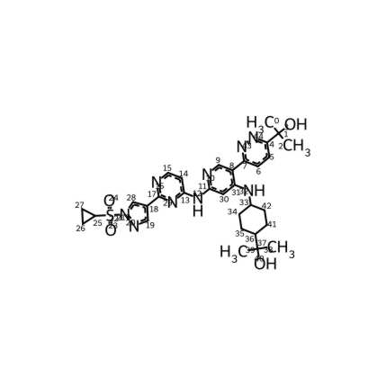 CC(C)(O)c1ccc(-c2cnc(Nc3ccnc(-c4cnn(S(=O)(=O)C5CC5)c4)n3)cc2NC2CCC(C(C)(C)O)CC2)nn1